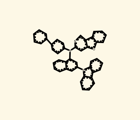 c1ccc(-c2ccc(N(c3cc4oc5ccccc5c4cn3)c3cc(-n4c5ccccc5c5ccccc54)cc4ccccc34)cc2)cc1